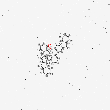 O=C1c2cc3c(cc2-c2ccccc2C12c1ccccc1-c1cc4c(cc12)-c1ccccc1C4)Cc1ccccc1-3